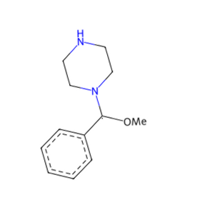 CO[C](c1ccccc1)N1CCNCC1